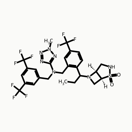 CCC(c1ccc(C(F)(F)F)cc1CN(Cc1cc(C(F)(F)F)cc(C(F)(F)F)c1)c1nnn(C)n1)N1C[C@H]2[C@@H]1CNS2(=O)=O